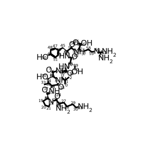 CC(C)C[C@H](NC(=O)[C@H](CO)NC(=O)[C@@H](NC(=O)[C@@H]1CCCN1C(=O)[C@@H](N)CCCCN)C(C)C)C(=O)N[C@@H](CO)C(=O)N[C@@H](Cc1ccc(O)cc1)C(=O)N[C@@H](CCCN=C(N)N)C(=O)O